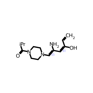 C=C/C(O)=C\C(N)=C\N1CCN(C(=O)C(C)C)CC1